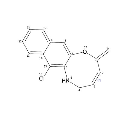 C=C1/C=C\CNc2c(cc3ccccc3c2Cl)O1